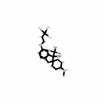 [2H]C([2H])([2H])C1(O)c2cc(OCCC(F)(F)F)ccc2CC12CCC(OC)CC2